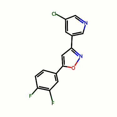 Fc1ccc(-c2cc(-c3cncc(Cl)c3)no2)cc1F